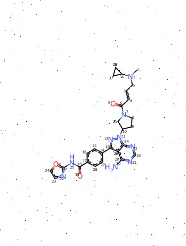 CN(C/C=C/C(=O)N1CCC(n2nc(-c3ccc(C(=O)Nc4ncco4)cc3)c3c(N)ncnc32)C1)C1CC1